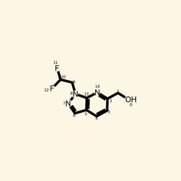 OCc1ccc2cnn(CC(F)F)c2n1